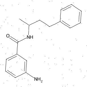 CC(CCc1ccccc1)NC(=O)c1cccc(N)c1